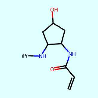 C=CC(=O)NC1CC(O)CC1NC(C)C